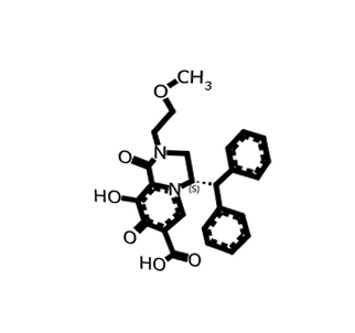 COCCN1C[C@H](C(c2ccccc2)c2ccccc2)n2cc(C(=O)O)c(=O)c(O)c2C1=O